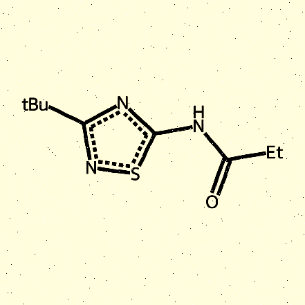 CCC(=O)Nc1nc(C(C)(C)C)ns1